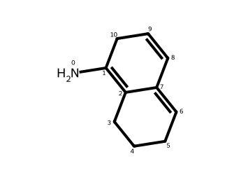 NC1=C2CCCC=C2C=CC1